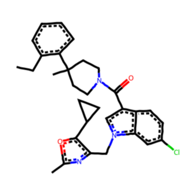 CCc1ccccc1C1(C)CCN(C(=O)c2cn(Cc3nc(C)oc3C3CC3)c3cc(Cl)ccc23)CC1